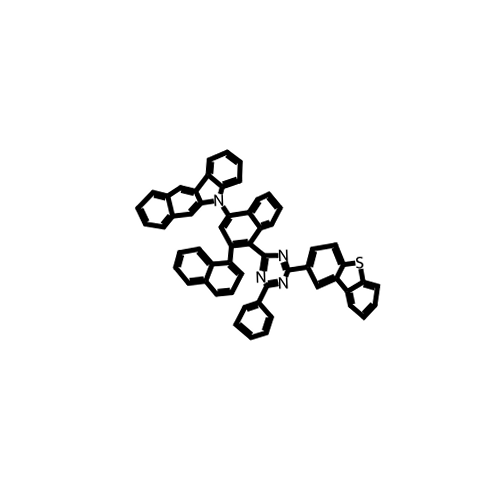 c1ccc(-c2nc(-c3ccc4sc5ccccc5c4c3)nc(-c3c(-c4cccc5ccccc45)cc(-n4c5ccccc5c5cc6ccccc6cc54)c4ccccc34)n2)cc1